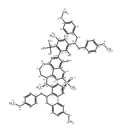 COc1ccc(CN(Cc2ccc(OC)cc2)c2ncccc2[C@@H](C)N2CCOc3nc(-c4c(F)c(N(Cc5ccc(OC)cc5)Cc5ccc(OC)cc5)c(F)c(C)c4C(F)(F)F)c(F)c4nc(S(C)(=O)=O)nc2c34)cc1